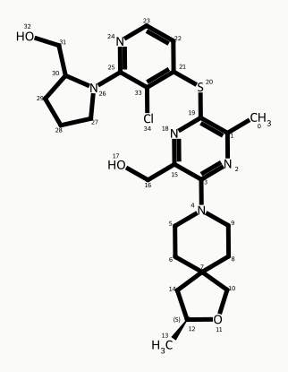 Cc1nc(N2CCC3(CC2)CO[C@@H](C)C3)c(CO)nc1Sc1ccnc(N2CCCC2CO)c1Cl